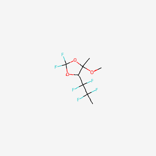 COC1(C)OC(F)(F)OC1C(F)(F)C(C)(F)F